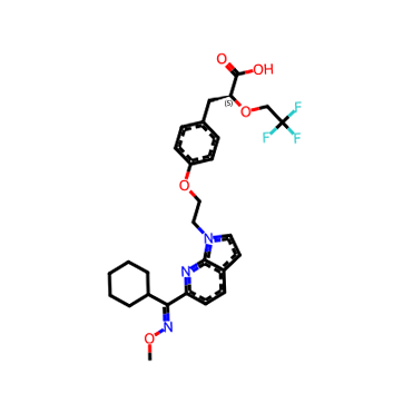 CON=C(c1ccc2ccn(CCOc3ccc(C[C@H](OCC(F)(F)F)C(=O)O)cc3)c2n1)C1CCCCC1